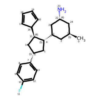 C[C@H]1CC([C@@H]2C[C@H](c3ccc(F)cc3)C[C@H]2C2C=CC=C2)C[C@H](N)C1